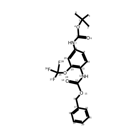 CC(C)(C)OC(=O)Nc1ccc(NC(=O)OCc2ccccc2)c(OC(F)(F)F)c1